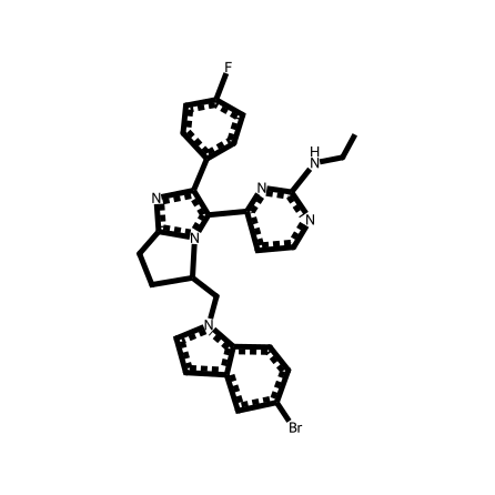 CCNc1nccc(-c2c(-c3ccc(F)cc3)nc3n2C(Cn2ccc4cc(Br)ccc42)CC3)n1